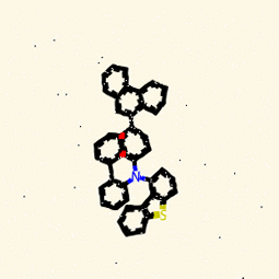 c1ccc(-c2ccccc2N(c2ccc(-c3cc4ccccc4c4ccccc34)cc2)c2cccc3sc4ccccc4c23)cc1